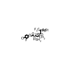 C=C(CCNC(=O)COc1ccc(Cl)c(F)c1)NC(=O)C1C(C(F)(F)F)N1SOCC.S